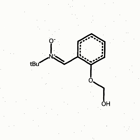 CC(C)(C)[N+]([O-])=Cc1ccccc1OCO